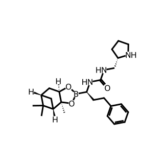 CC1(C)[C@@H]2C[C@H]3OB([C@H](CCc4ccccc4)NC(=O)NC[C@@H]4CCCN4)O[C@@]3(C)[C@H]1C2